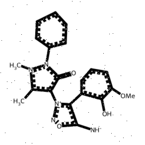 COc1cccc(-c2c([NH-])on[n+]2-c2c(C)n(C)n(-c3ccccc3)c2=O)c1O